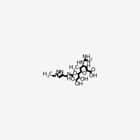 CCn1cc(CNC(=O)O[C@@H]([C@@H]2OC(C(=O)O)=C[C@H](NC(=N)N)[C@H]2C)[C@H](O)CO)nn1